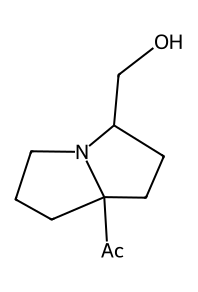 CC(=O)C12CCCN1C(CO)CC2